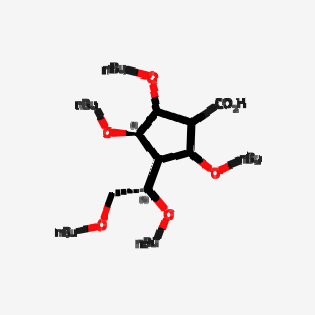 CCCCOC[C@@H](OCCCC)C1C(OCCCC)C(C(=O)O)C(OCCCC)[C@@H]1OCCCC